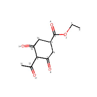 CCOC(=O)C1CC(=O)C(C(C)=O)C(=O)C1